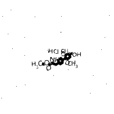 CCOC(=O)[C@@H](N)Cc1ccc(-c2c(OC)cc(CO)cc2OC)cc1.Cl